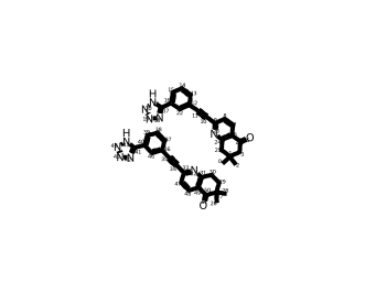 CC1(C)CC(=O)c2ccc(C#Cc3cccc(-c4nnn[nH]4)c3)nc2C1.CC1(C)CCc2nc(C#Cc3cccc(-c4nnn[nH]4)c3)ccc2C1=O